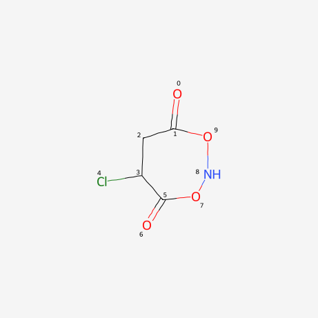 O=C1CC(Cl)C(=O)ONO1